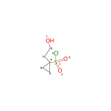 O=S(=O)(Cl)C1(CCO)CC1